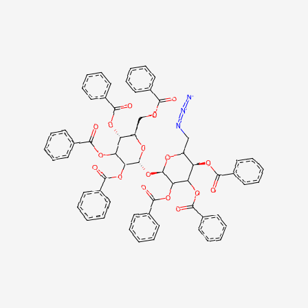 [N-]=[N+]=NCC1O[C@H](O[C@H]2O[C@H](COC(=O)c3ccccc3)[C@@H](OC(=O)c3ccccc3)C(OC(=O)c3ccccc3)C2OC(=O)c2ccccc2)C(OC(=O)c2ccccc2)C(OC(=O)c2ccccc2)[C@@H]1OC(=O)c1ccccc1